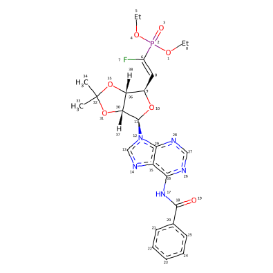 CCOP(=O)(OCC)/C(F)=C/[C@H]1O[C@@H](n2cnc3c(NC(=O)c4ccccc4)ncnc32)[C@@H]2OC(C)(C)O[C@@H]21